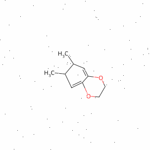 CC1C=C2OCCOC2=CC1C